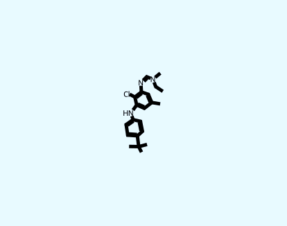 CCN(C)/C=N\c1cc(C)cc(Nc2ccc(C(C)(C)C)cc2)c1Cl